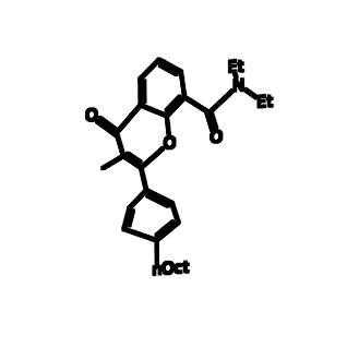 CCCCCCCCc1ccc(-c2oc3c(C(=O)N(CC)CC)cccc3c(=O)c2C)cc1